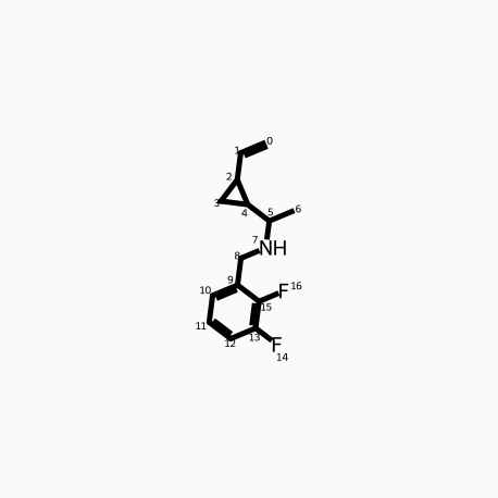 C=CC1CC1C(C)NCc1cccc(F)c1F